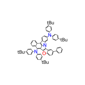 CC(C)(C)c1ccc(N(c2ccc(C(C)(C)C)cc2)c2ccc3c4c5ccccc5c(N(c5ccc(C(C)(C)C)cc5)c5ccc(C(C)(C)C)cc5)c5c6oc7ccc(-c8ccccc8)cc7c6n(c3c2)c54)cc1